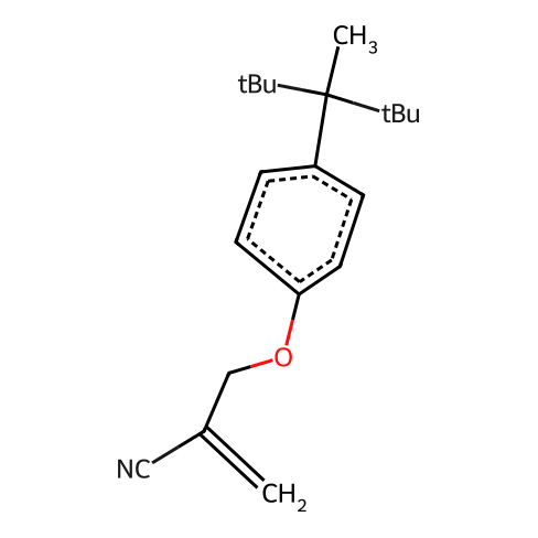 C=C(C#N)COc1ccc(C(C)(C(C)(C)C)C(C)(C)C)cc1